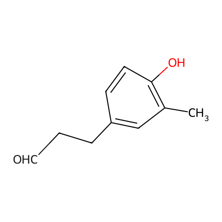 Cc1cc(CCC=O)ccc1O